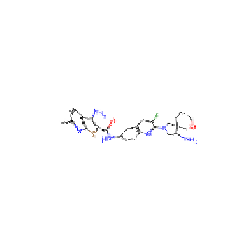 Cc1ccc2c(N)c(C(=O)NC3CCc4nc(N5CC(N)C6(CCCOC6)C5)c(F)cc4C3)sc2n1